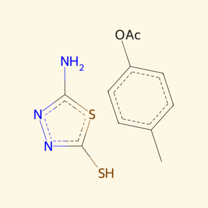 CC(=O)Oc1ccc(C)cc1.Nc1nnc(S)s1